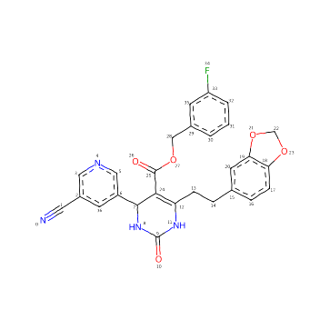 N#Cc1cncc(C2NC(=O)NC(CCc3ccc4c(c3)OCO4)=C2C(=O)OCc2cccc(F)c2)c1